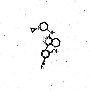 N#Cc1ccc(-c2nnc(N[C@@H]3CCCN(C4CC4)C3)c3c2CCCC3)c(O)c1